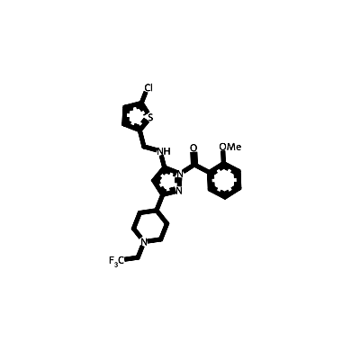 COc1ccccc1C(=O)n1nc(C2CCN(CC(F)(F)F)CC2)cc1NCc1ccc(Cl)s1